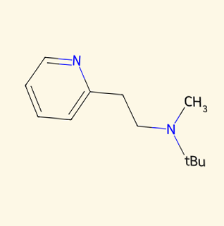 CN(CCc1ccccn1)C(C)(C)C